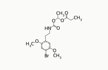 CCC(=O)OC(C)OC(=O)NCCc1cc(OC)c(Br)cc1OC